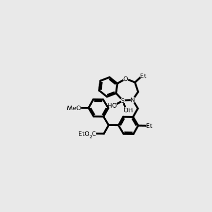 CCOC(=O)CC(c1cccc(OC)c1)c1ccc(CC)c(CN2CC(CC)Oc3ccccc3S2(O)O)c1